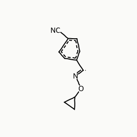 N#Cc1ccc(/[C]=N/OC2CC2)cc1